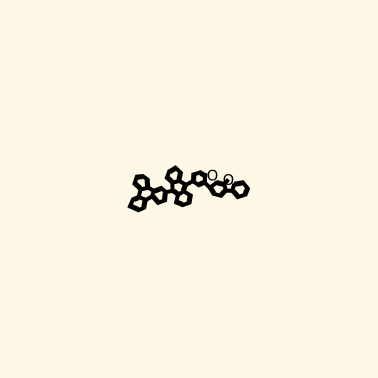 c1ccc2c(c1)oc1c2ccc2c3cc(-c4c5ccccc5c(-c5ccc6c7ccccc7c7ccccc7c6c5)c5ccccc45)ccc3oc21